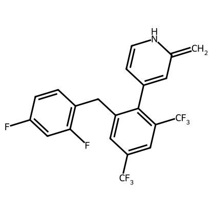 C=C1C=C(c2c(Cc3ccc(F)cc3F)cc(C(F)(F)F)cc2C(F)(F)F)C=CN1